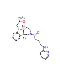 COC(=O)C[C@@H]1c2ccccc2[C@@H]2CN(C(=O)CCCNc3ccccn3)CC[C@H]12